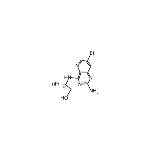 CCC[C@@H](CO)Nc1nc(N)nc2cc(CC)cnc12